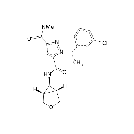 CNC(=O)c1cc(C(=O)N[C@H]2[C@@H]3COC[C@@H]32)n([C@@H](C)c2cccc(Cl)c2)n1